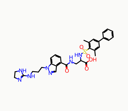 Cc1cc(-c2ccccc2)cc(C)c1S(=O)(=O)NC(CNC(=O)c1cccc2c1cnn2CCCNC1=NCCN1)C(=O)O